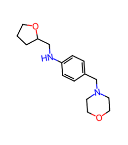 c1cc(NCC2CCCO2)ccc1CN1CCOCC1